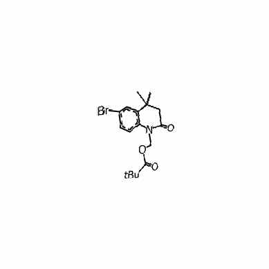 CC(C)(C)C(=O)OCN1C(=O)CC(C)(C)c2cc(Br)ccc21